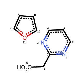 O=C(O)Cc1ncccn1.c1ccoc1